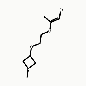 CC/C=C(\C)OCCOC1CN(C)C1